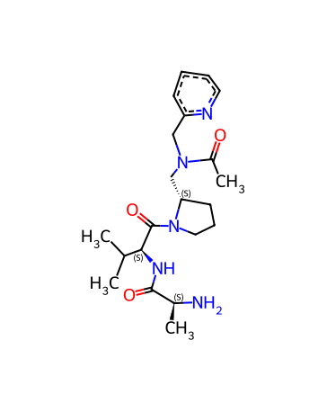 CC(=O)N(Cc1ccccn1)C[C@@H]1CCCN1C(=O)[C@@H](NC(=O)[C@H](C)N)C(C)C